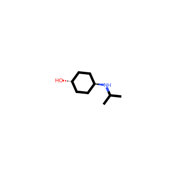 CC(C)N[C@H]1CC[C@H](O)CC1